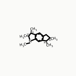 CCN1c2cc3c(cc2[C@H](C)[C@@H]1C)C[C@@H](C)[C@H]3C